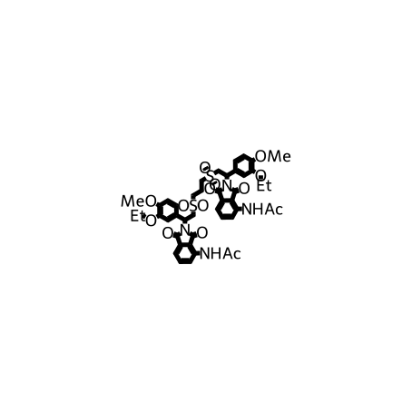 CCOc1cc(C(CS(=O)(=O)CCCS(=O)(=O)CC(c2ccc(OC)c(OCC)c2)N2C(=O)c3cccc(NC(C)=O)c3C2=O)N2C(=O)c3cccc(NC(C)=O)c3C2=O)ccc1OC